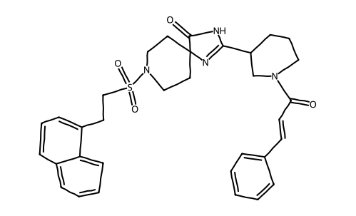 O=C(C=Cc1ccccc1)N1CCCC(C2=NC3(CCN(S(=O)(=O)CCc4cccc5ccccc45)CC3)C(=O)N2)C1